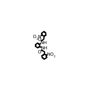 O=C(Cc1ccccc1[N+](=O)[O-])Nc1ccccc1NC(=O)Cc1ccccc1[N+](=O)[O-]